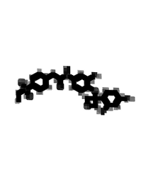 CCS(=O)(=O)c1ccc(CC(=O)Nc2ccc(OC3(c4ccc(F)cc4F)COC3)c(F)c2)cc1